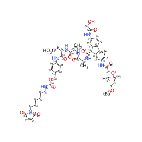 CCC(C)(CCOC(C)(C)C)OCC(=O)Nc1ccc2c(c1)C(C(=O)NC(C)C(=O)NC(C)C(=O)NC(CC(=O)O)C(=O)Nc1ccc(COC(=O)NCCCCCCN3C(=O)C=CC3=O)cc1)c1cc(NC(=O)CO)ccc1-2